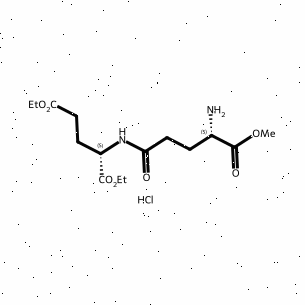 CCOC(=O)CC[C@H](NC(=O)CC[C@H](N)C(=O)OC)C(=O)OCC.Cl